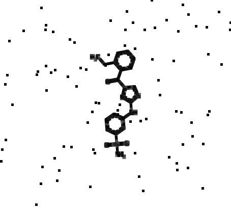 CCc1ccccc1C(=O)c1cnc(Nc2cccc(S(N)(=O)=O)c2)s1